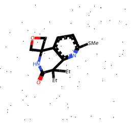 CCC1(CC)C(=O)NC2(COC2)c2ccc(SC)nc21